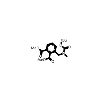 COC(=O)c1cccc(CN(C)C(=O)OC(C)(C)C)c1C(=O)OC